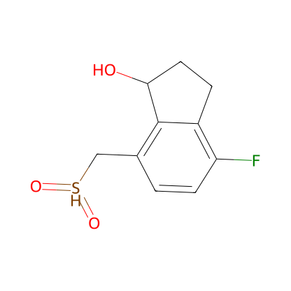 O=[SH](=O)Cc1ccc(F)c2c1C(O)CC2